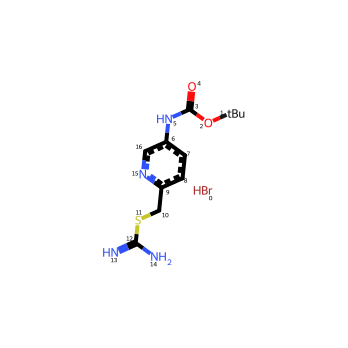 Br.CC(C)(C)OC(=O)Nc1ccc(CSC(=N)N)nc1